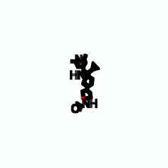 Cc1cc(-c2[nH]c3cc(C4CCC(NC5COC5)CC4)ccc3c2C2CC2)cc(C)n1